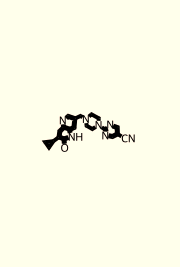 N#Cc1cnc(N2CCN(Cc3cnc4cc(C5CC5)c(=O)[nH]c4c3)CC2)nc1